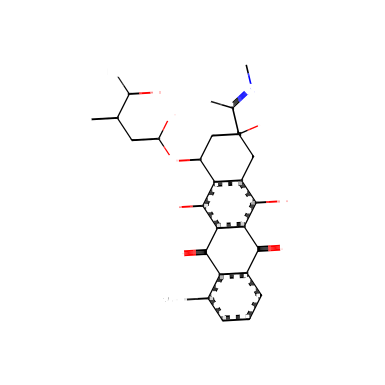 CC/C(=N\C)C1(O)Cc2c(O)c3c(c(O)c2C(OC(O)CC(C)C(O)CC)C1)C(=O)c1c(OC)cccc1C3=O